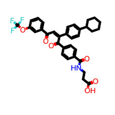 O=C(O)CCNC(=O)c1ccc(C(=O)/C(=C\C(=O)c2cccc(OC(F)(F)F)c2)c2ccc(C3CCCCC3)cc2)cc1